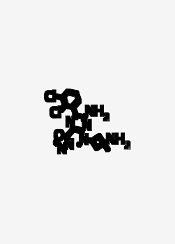 CN(c1nc(N)c(-c2cccc(Cl)c2Cl)nc1-c1nnco1)C1CC(C)(N)C1